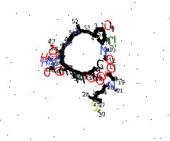 COc1cc2cc(c1Cl)N(C)C(=O)C[C@@H](OC(=O)[C@H](C)N(C)C(=O)CCC(C)(C)SC)[C@]1(C)O[C@@H]1[C@@H](C)[C@H]1C[C@](O)(NC(=O)O1)[C@H](OC)/C=C\C=C(\C)C2